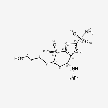 CCCN[C@@H]1CN(CCCCO)S(=O)(=O)c2cc(S(N)(=O)=O)sc21